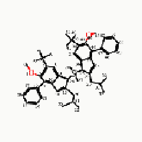 COc1c(C(C)(C)C)cc2c(c1-c1ccccc1)C=C(CC(C)C)C2[Si](C)(C)C1C(CC(C)C)=Cc2c1cc(C(C)(C)C)c(OC)c2-c1ccccc1